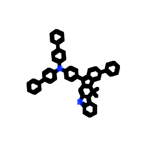 CC1(C)C2=C(C=C3N=c4ccccc4=C31)C(c1ccc(N(c3ccc(-c4ccccc4)cc3)c3ccc(-c4ccccc4)cc3)cc1)=C1C=CC(c3ccccc3)C=C12